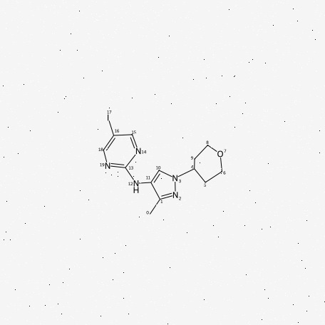 Cc1nn(C2CCOCC2)cc1Nc1ncc(I)cn1